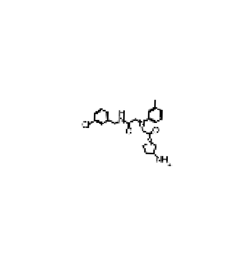 Cc1cccc(N(CC(=O)NCc2cccc(Cl)c2)CC(=O)N2CCC(N)C2)c1